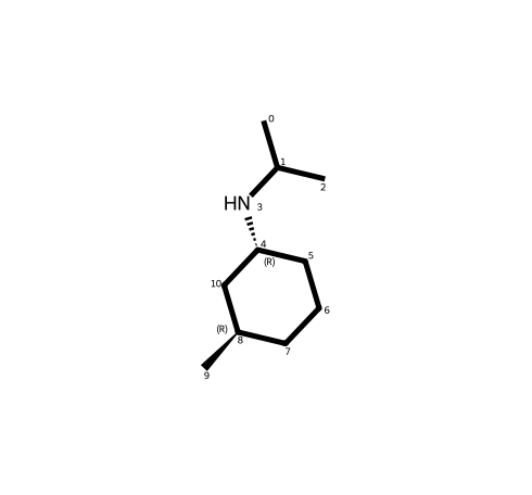 CC(C)N[C@@H]1CCC[C@@H](C)C1